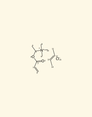 C=CC(=O)OC(C)[N+](C)(C)C.CC=CC.[Cl-]